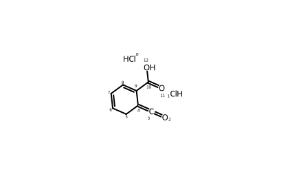 Cl.Cl.O=C=C1CC=CC=C1C(=O)O